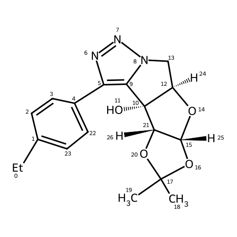 CCc1ccc(-c2nnn3c2[C@@]2(O)[C@@H](C3)O[C@@H]3OC(C)(C)O[C@@H]32)cc1